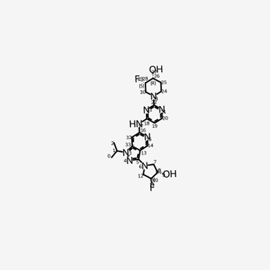 CC(C)n1nc(N2C[C@H](O)[C@@H](F)C2)c2cnc(Nc3ccnc(N4CC[C@@H](O)[C@@H](F)C4)n3)cc21